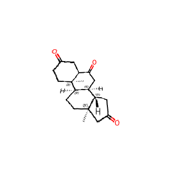 C[C@]12CC[C@@H]3[C@@H](CC(=O)C4CC(=O)CC[C@@]43C)[C@@H]1CC(=O)C2